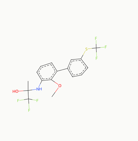 COc1c(NC(C)(O)C(F)(F)F)cccc1-c1cccc(SC(F)(F)F)c1